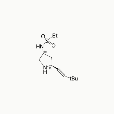 CCS(=O)(=O)N[C@H]1CN[C@H](C#CC(C)(C)C)C1